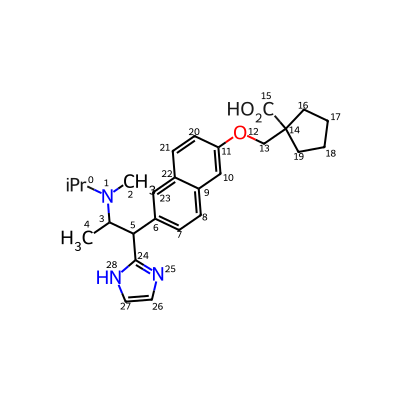 CC(C)N(C)C(C)C(c1ccc2cc(OCC3(C(=O)O)CCCC3)ccc2c1)c1ncc[nH]1